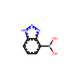 OB(O)c1cccc2[nH]nnc12